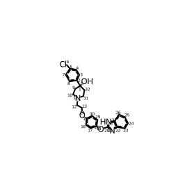 OC1(c2ccc(Cl)cc2)CCN(CCOc2ccc(Oc3nc4ccccc4[nH]3)cc2)CC1